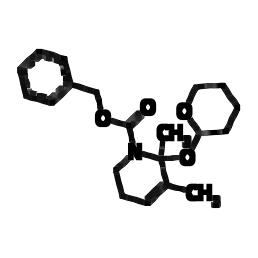 CC1=CCCN(C(=O)OCc2ccccc2)C1(C)OC1CCCCO1